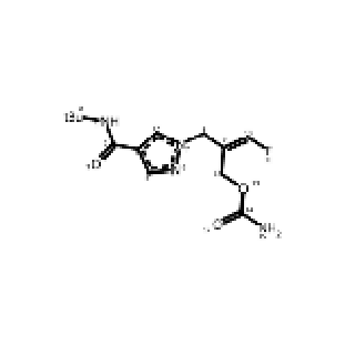 CC(C)(C)NC(=O)c1cnn(CC(=CF)COC(N)=O)c1